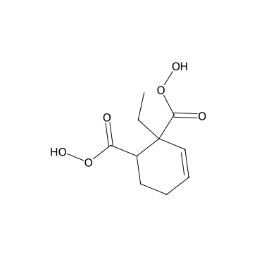 CCC1(C(=O)OO)C=CCCC1C(=O)OO